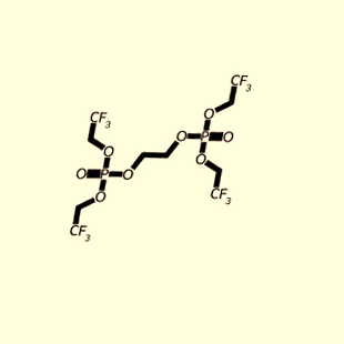 O=P(OCCOP(=O)(OCC(F)(F)F)OCC(F)(F)F)(OCC(F)(F)F)OCC(F)(F)F